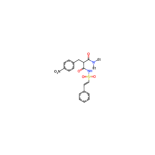 CCN(CC)C(=O)C(Cc1ccc([N+](=O)[O-])cc1)C(=O)NS(=O)(=O)C=Cc1ccccc1